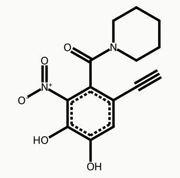 C#Cc1cc(O)c(O)c([N+](=O)[O-])c1C(=O)N1CCCCC1